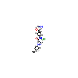 Cl.N#Cc1ccc(-n2cc(C(=O)Nc3ccc(C4CNCCO4)cc3)cn2)cc1